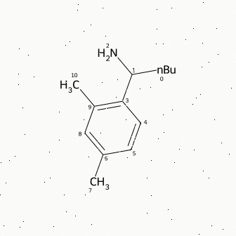 CCCCC(N)c1ccc(C)cc1C